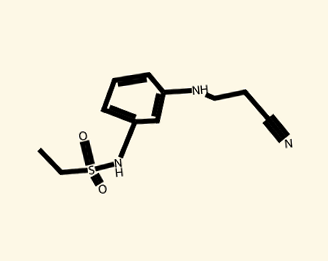 CCS(=O)(=O)Nc1cccc(NCCC#N)c1